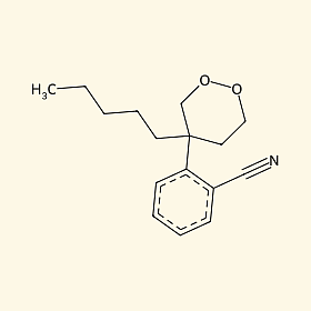 CCCCCC1(c2ccccc2C#N)CCOOC1